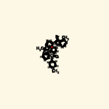 Cc1ncnc2c1c(Br)cn2[C@@H]1C[C@H](C(=O)NC2CCN(C)CC2)[C@](C)([Si](c2ccccc2)(c2ccccc2)C(C)(C)C)C1